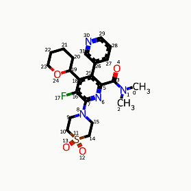 CN(C)C(=O)c1nc(N2CCS(=O)(=O)CC2)c(F)c(C2CCCCO2)c1-c1cccnc1